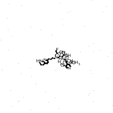 COc1cncc(Cl)c1C(C)(C)C(=O)N[C@@H](CCN(CCCCc1ccc2c(n1)NCCC2)C[C@@H](CF)OC)C(=O)O